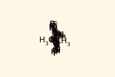 CCS(=O)(=O)N(Cc1ncc(-c2nnc(C(F)F)o2)s1)c1cc(C)n(CCCS(=O)(=O)N(Cc2ncc(-c3nnc(C(F)F)o3)s2)c2ccc(C3CC3)nc2)n1